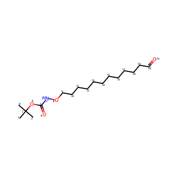 CC(C)(C)OC(=O)NOCCCCCCCCCCC[C]=O